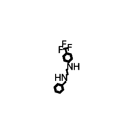 FC(F)(F)c1ccc(NCCNCc2ccccc2)cc1